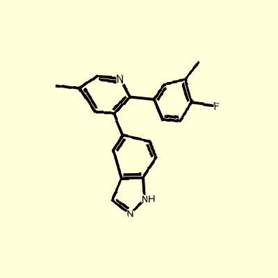 Cc1cnc(-c2ccc(F)c(C)c2)c(-c2ccc3[nH]ncc3c2)c1